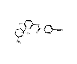 C[C@@]1(c2cc(NC(=O)c3ccc(C#N)cn3)ccc2F)CCSC(N)=N1